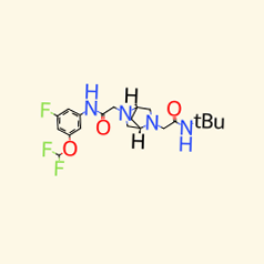 CC(C)(C)NC(=O)CN1C[C@@H]2C[C@H]1CN2CC(=O)Nc1cc(F)cc(OC(F)F)c1